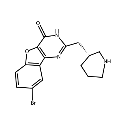 O=c1[nH]c(C[C@H]2CCCNC2)nc2c1oc1ccc(Br)cc12